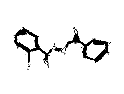 O=C(OOC(=O)c1ccccc1Br)c1ccccc1